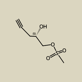 C#CC[C@H](O)COS(C)(=O)=O